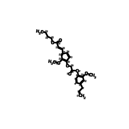 C=CCc1ccc(OC(=O)COc2ccc(/C=C/C(=O)OCCCC)cc2OC)c(OC)c1